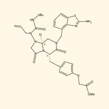 C=CCN(C(=O)NCCCC)N1CC(=O)N2[C@@H](Cc3ccc(OCC(=O)OC)cc3)C(=O)N(Cc3cccc4sc(N)nc34)C[C@@H]21